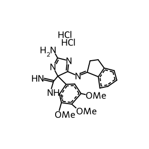 COc1cc(C2(C(=N)N)N=C(N)N=C2N=C2CCc3ccccc32)cc(OC)c1OC.Cl.Cl